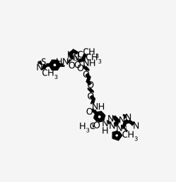 CC[C@@H]1c2c(C#N)ncn2-c2cnc(Nc3ccc(C(=O)NCCOCCOCCOCC(=O)N[C@H](C(=O)N4CCC[C@H]4C(=O)NCc4ccc(-c5scnc5C)cc4)C(C)(C)C)cc3OC)nc2N1C1CCCC1